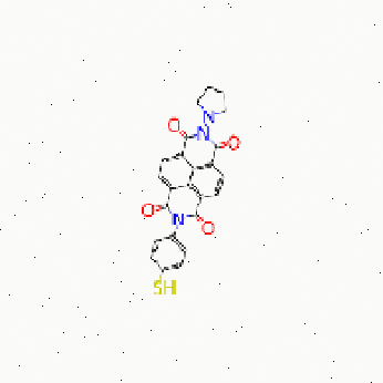 O=C1c2ccc3c4c(ccc(c24)C(=O)N1c1ccc(S)cc1)C(=O)N(N1CCCC1)C3=O